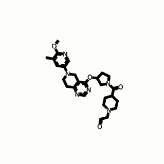 COc1ncc(N2CCc3ncnc(OC4CCN(C(=O)C5CCN(CC=O)CC5)C4)c3C2)cc1C